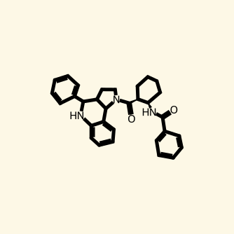 O=C(N[C@@H]1CCCC[C@@H]1C(=O)N1CCC2C(c3ccccc3)Nc3ccccc3C21)c1ccccc1